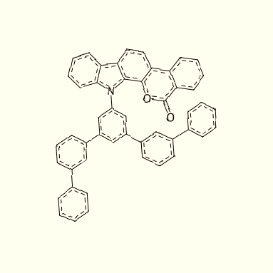 O=c1oc2c(ccc3c4ccccc4n(-c4cc(-c5cccc(-c6ccccc6)c5)cc(-c5cccc(-c6ccccc6)c5)c4)c32)c2ccccc12